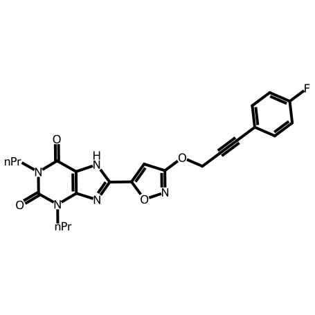 CCCn1c(=O)c2[nH]c(-c3cc(OCC#Cc4ccc(F)cc4)no3)nc2n(CCC)c1=O